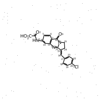 O=C(O)C(=O)Nc1ccc2c(=O)n3c(nc2c1)C(=Cc1ccc(Cl)cc1)CC3